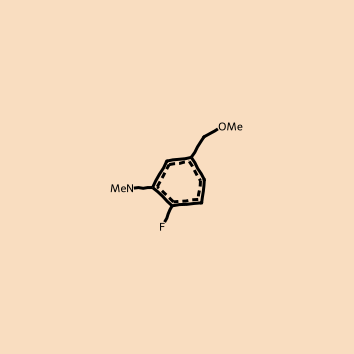 CNc1cc(COC)ccc1F